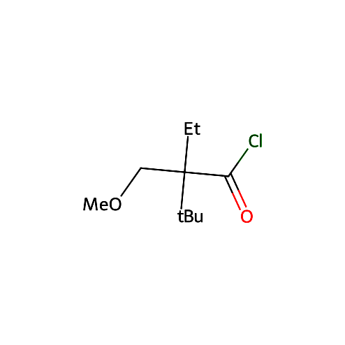 CCC(COC)(C(=O)Cl)C(C)(C)C